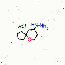 Cl.NNC1CCOC2(CCCC2)C1